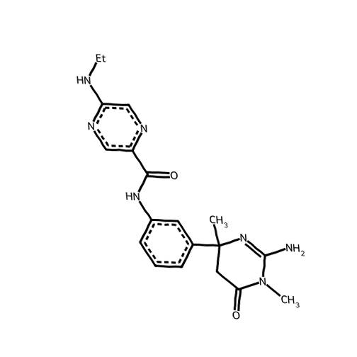 CCNc1cnc(C(=O)Nc2cccc(C3(C)CC(=O)N(C)C(N)=N3)c2)cn1